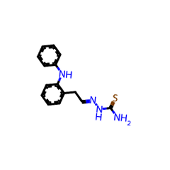 NC(=S)NN=CCc1ccccc1Nc1ccccc1